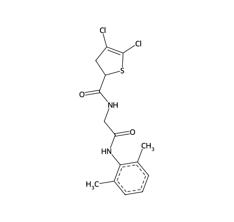 Cc1cccc(C)c1NC(=O)CNC(=O)C1CC(Cl)=C(Cl)S1